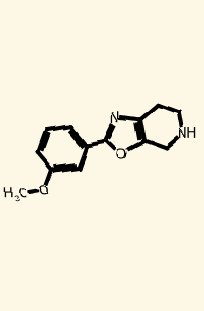 COc1cccc(-c2nc3c(o2)CNCC3)c1